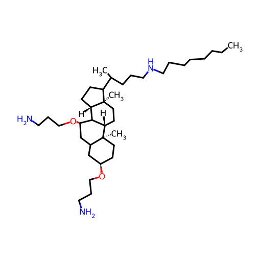 CCCCCCCCNCCCC(C)C1CC[C@H]2C3[C@H](OCCCN)CC4C[C@H](OCCCN)CC[C@]4(C)[C@H]3CC[C@]12C